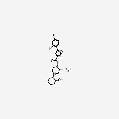 O=C(N[C@@H]1CCN([C@@H]2CCCC[C@@H]2O)C[C@H]1C(=O)O)c1cc(-c2ccc(F)cc2F)on1